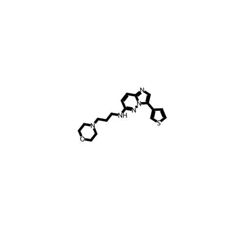 c1cc(-c2cnc3ccc(NCCCN4CCOCC4)nn23)cs1